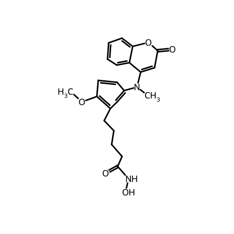 COc1ccc(N(C)c2cc(=O)oc3ccccc23)cc1CCCCC(=O)NO